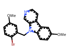 COc1ccc(Br)c(Cn2c3ccc(OC)cc3c3ccncc32)c1